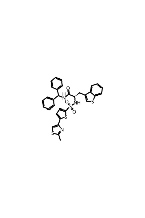 Cc1nc(-c2ccc(S(=O)(=O)N[C@H](Cc3csc4ccccc34)C(=O)NC(c3ccccc3)c3ccccc3)s2)cs1